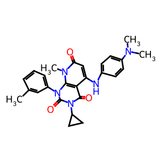 Cc1cccc(-n2c(=O)n(C3CC3)c(=O)c3c(Nc4ccc(N(C)C)cc4)cc(=O)n(C)c32)c1